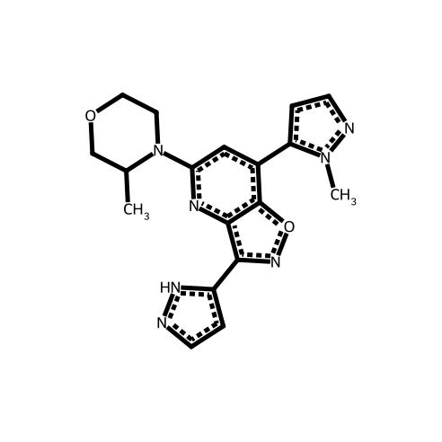 CC1COCCN1c1cc(-c2ccnn2C)c2onc(-c3ccn[nH]3)c2n1